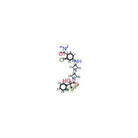 CN(C)C(=O)c1ccc(NC2CN(C3CN(C(=O)C(O)(c4ccccc4)C(F)(F)F)C3)C2)cc1Cl